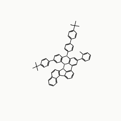 Cc1ccccc1-c1cc2c3c(c1)N(c1ccc(-c4ccc(C(C)(C)C)cc4)cc1)c1ccc(-c4ccc(C(C)(C)C)cc4)cc1B3n1c3ccc4ccccc4c3c3cccc-2c31